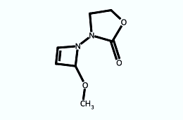 COC1C=CN1N1CCOC1=O